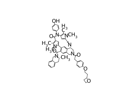 Cc1c(N(C(=O)c2cc(-c3cc4c(cc3C(=O)N3Cc5ccccc5C[C@H]3C)CN(C(=O)Cc3ccc(OCCC5CCO5)cc3)CC4)n(C)c2C)c2ccc(O)cc2)cc(C#N)n1C